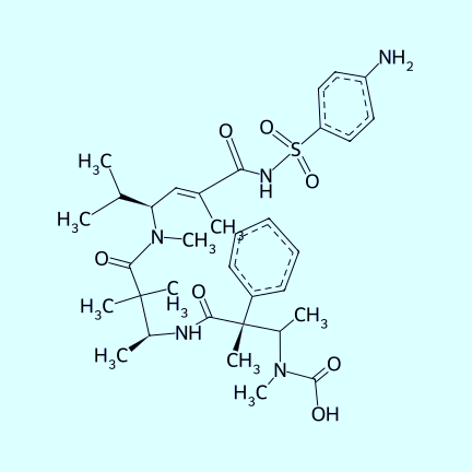 C/C(=C\[C@H](C(C)C)N(C)C(=O)C(C)(C)[C@H](C)NC(=O)[C@](C)(c1ccccc1)C(C)N(C)C(=O)O)C(=O)NS(=O)(=O)c1ccc(N)cc1